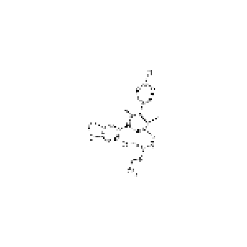 C=C1C(c2ccc(Cl)cc2)=C(C)C(/C=N\C(=C\CC)NCC(F)(F)F)=CN1c1ccc2c(c1)CCO2